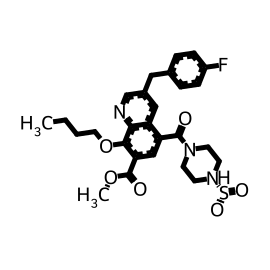 CCCCOc1c(C(=O)OC)cc(C(=O)N2CCN([SH](=O)=O)CC2)c2cc(Cc3ccc(F)cc3)cnc12